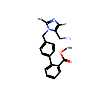 CCCCOC(=O)c1ccccc1-c1ccc(Cn2c(CCCC)nc(Cl)c2CN)cc1